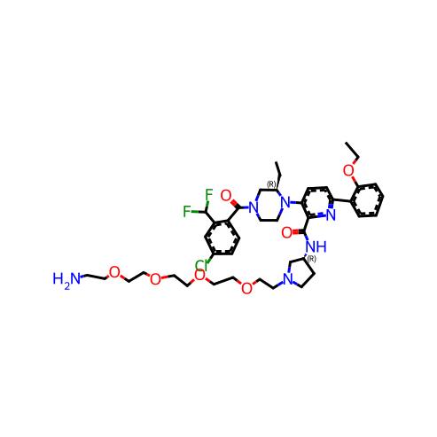 CCOc1ccccc1-c1ccc(N2CCN(C(=O)c3ccc(Cl)cc3C(F)F)C[C@H]2CC)c(C(=O)N[C@@H]2CCN(CCOCCOCCOCCOCCN)C2)n1